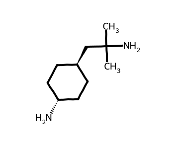 CC(C)(N)C[C@H]1CC[C@H](N)CC1